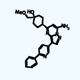 COC[C@]1(O)CC[C@@H](c2cc(N)n3ncc(-c4ccc(-c5ccccc5)nc4)c3n2)CC1